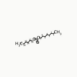 CCCCCCCCOS(=O)OCCCCCC